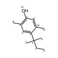 CCC(C)(C)c1cc(C)c(O)cc1C